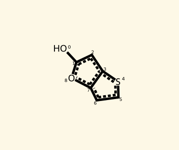 Oc1cc2sccc2o1